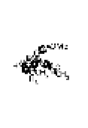 C=Cc1cc2c(N3CCC4(CC3)CN(C(=O)C(=C)F)C4)nc(OC3CCN(CCOC)CC3)nc2c(OCC)c1-c1c(C)ccc2[nH]ncc12